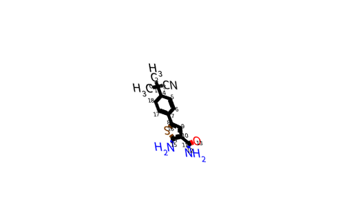 CC(C)(C#N)C1C=CC(c2cc(C(N)=O)c(N)s2)=CC1